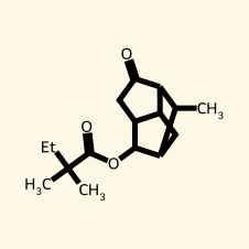 CCC(C)(C)C(=O)OC1C2CC3C1CC(=O)C3C2C